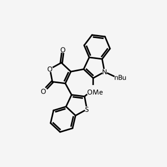 CCCCn1c(C)c(C2=C(c3c(OC)sc4ccccc34)C(=O)OC2=O)c2ccccc21